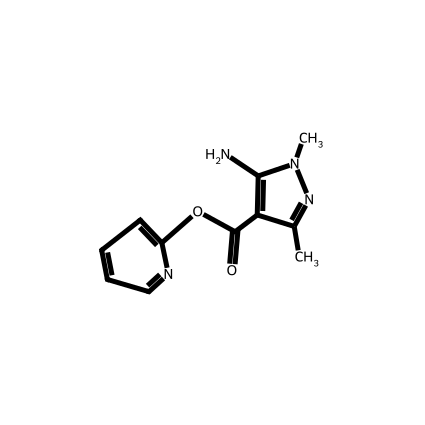 Cc1nn(C)c(N)c1C(=O)Oc1ccccn1